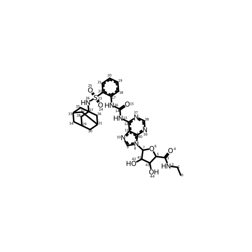 CCNC(=O)C1OC(n2cnc3c(NC(=O)Nc4ccccc4S(=O)(=O)NC45CC6CC(CC(C6)C4)C5)ncnc32)C(O)C1O